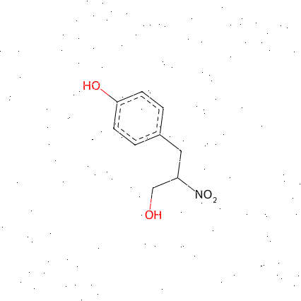 O=[N+]([O-])C(CO)Cc1ccc(O)cc1